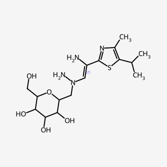 Cc1nc(/C(N)=C/N(N)CC2OC(CO)C(O)C(O)C2O)sc1C(C)C